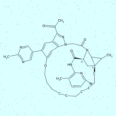 CC(=O)c1nn2c3cc(c(-c4cnc(C)nc4)cc13)OCCCCCCCCCC[C@@]13C[C@@H](C(=O)Nc4nc(Br)ccc4C)N(C(=O)C2)C1C3C